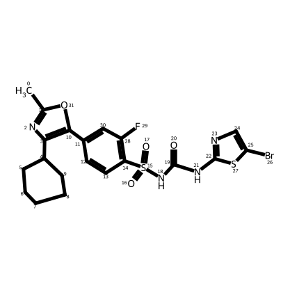 Cc1nc(C2CCCCC2)c(-c2ccc(S(=O)(=O)NC(=O)Nc3ncc(Br)s3)c(F)c2)o1